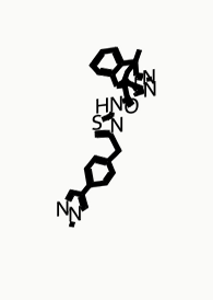 Cn1cc(-c2ccc(Cc3csc(NC(=O)C4(C)CC5(C)c6ccccc6C4n4cnnc45)n3)cc2)cn1